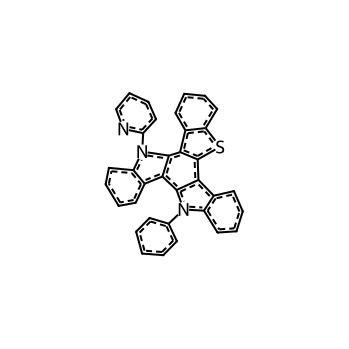 c1ccc(-n2c3ccccc3c3c4sc5ccccc5c4c4c(c5ccccc5n4-c4ccccn4)c32)cc1